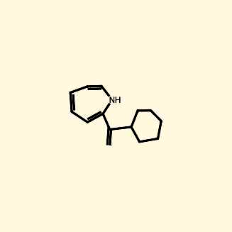 [CH]=C(C1=CC=CC=CN1)C1CCCCC1